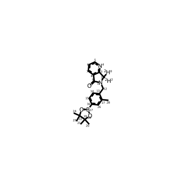 [2H]C1([2H])c2ncccc2C(=O)N1Cc1ccc(B2OC(C)(C)C(C)(C)O2)cc1C